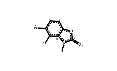 Cc1c(Br)ccc2oc(=O)n(C)c12